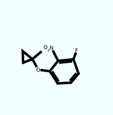 CC1(Oc2cccc(F)c2[N+](=O)[O-])CC1